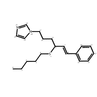 CCCCCSC(/C=C/c1ccccc1)CCCn1ccnc1